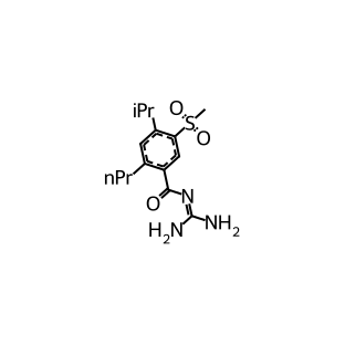 CCCc1cc(C(C)C)c(S(C)(=O)=O)cc1C(=O)N=C(N)N